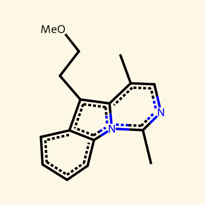 COCCc1c2ccccc2n2c(C)ncc(C)c12